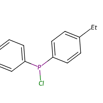 CCc1ccc(P(Cl)c2ccccc2)cc1